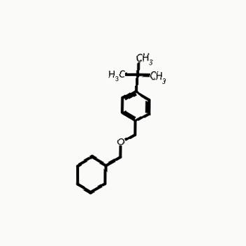 CC(C)(C)c1ccc(COCC2CCCCC2)cc1